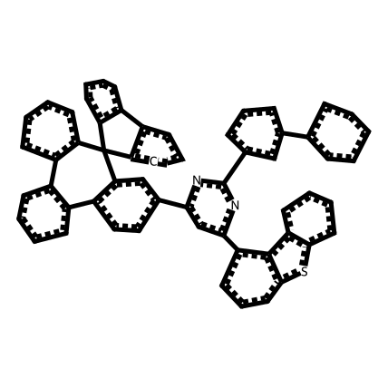 c1ccc(-c2cccc(-c3nc(-c4ccc5c(c4)C4(c6ccccc6-c6ccccc6-5)c5ccccc5-c5ccccc54)cc(-c4cccc5sc6ccccc6c45)n3)c2)cc1